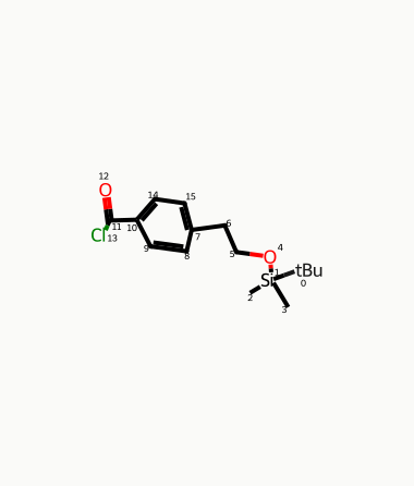 CC(C)(C)[Si](C)(C)OCCc1ccc(C(=O)Cl)cc1